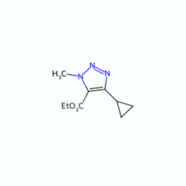 CCOC(=O)c1c(C2CC2)nnn1C